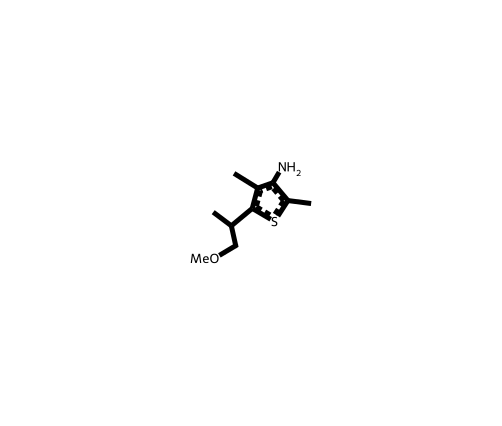 COCC(C)c1sc(C)c(N)c1C